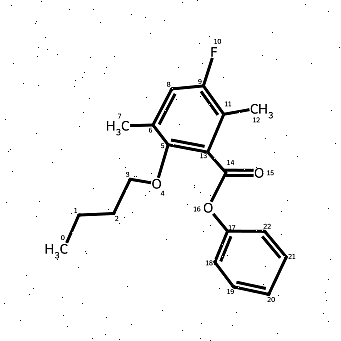 CCCCOc1c(C)cc(F)c(C)c1C(=O)Oc1ccccc1